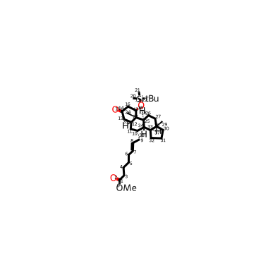 COC(=O)CCCC/C=C/C[C@@H]1C[C@H]2CC(=O)CC(O[Si](C)(C)C(C)(C)C)[C@]2(C)[C@H]2CC[C@]3(C)CCC[C@H]3[C@H]12